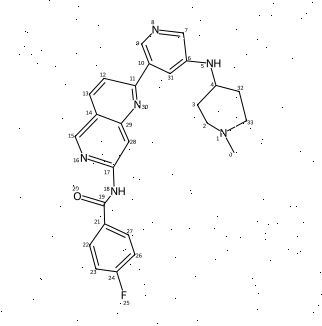 CN1CCC(Nc2cncc(-c3ccc4cnc(NC(=O)c5ccc(F)cc5)cc4n3)c2)CC1